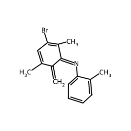 C=C1C(C)=CC(Br)=C(C)/C1=N/c1ccccc1C